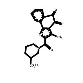 CCOC(=O)C1CCCN(C(=O)c2oc3c(c2C)C(=O)C(=O)c2ccccc2-3)C1